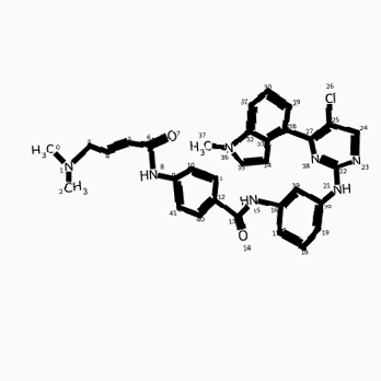 CN(C)C/C=C/C(=O)Nc1ccc(C(=O)Nc2cccc(Nc3ncc(Cl)c(-c4cccc5c4ccn5C)n3)c2)cc1